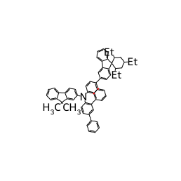 CCC1CC(CC)C2(c3ccccc3-c3cc(-c4ccc(N(c5ccc6c(c5)C(C)(C)c5ccccc5-6)c5ccc(-c6ccccc6)cc5-c5ccccc5)cc4)ccc32)C(CC)C1